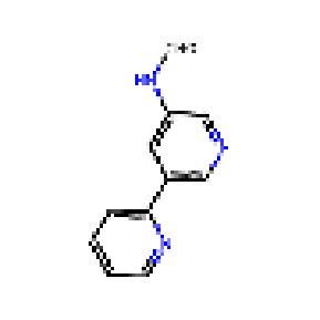 O=CNc1cncc(-c2ccccn2)c1